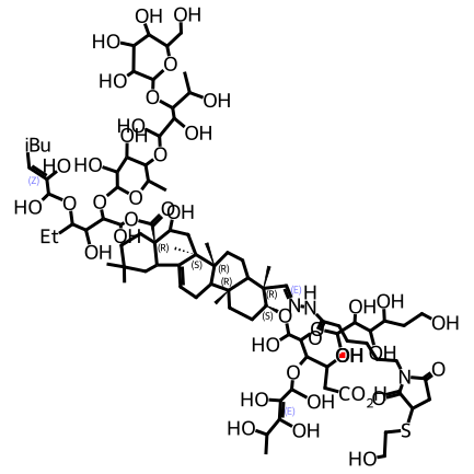 CCC(C)/C=C(\O)C(O)OC(CC)C(O)C(OC1OC(C)C(OC(O)C(O)C(OC2OC(CO)C(O)C(O)C2O)C(C)O)C(O)C1O)C(O)OC(=O)[C@]12CCC(C)(C)CC1C1=CCC3[C@@]4(C)CC[C@H](OC(O)C(OC(O)C(O)C(O)C(O)CCO)C(OC(O)/C(O)=C(\O)C(C)O)C(O)CC(=O)O)[C@@](C)(/C=N/NC(=O)CCCCCN5C(=O)CC(SCCO)C5=O)C4CC[C@@]3(C)[C@]1(C)CC2O